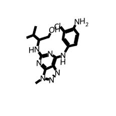 CC(C)C(CO)Nc1nc(Nc2ccc(N)c(Cl)c2)c2nnn(C)c2n1